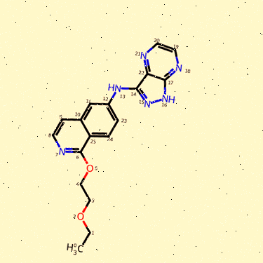 CCOCCOc1nccc2cc(Nc3n[nH]c4nccnc34)ccc12